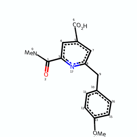 CNC(=O)c1cc(C(=O)O)cc(Cc2ccc(OC)cc2)n1